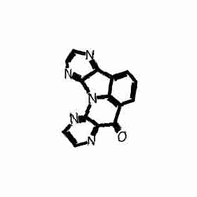 O=c1c2cccc3c4nccnc4n(c4nccnc14)c23